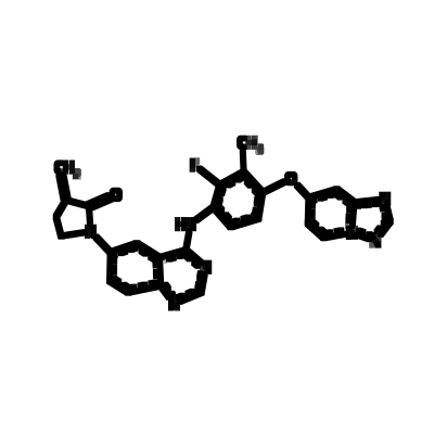 C=C1CCN(c2ccc3ncnc(Nc4ccc(Oc5ccn6ncnc6c5)c(C)c4F)c3c2)C1=O